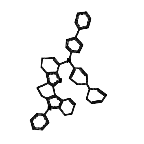 C1=CCC(C2C=CC(N(C3=CCCc4c3sc3c4CCc4c-3c3c(n4-c4ccccc4)CCC=C3)c3ccc(-c4ccccc4)cc3)=CC2)C=C1